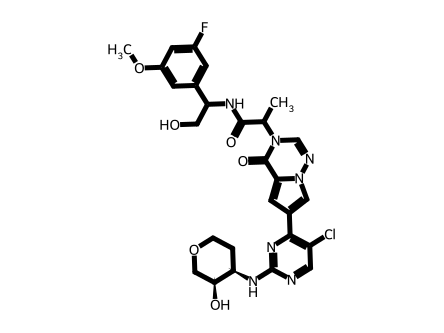 COc1cc(F)cc(C(CO)NC(=O)C(C)n2cnn3cc(-c4nc(N[C@@H]5CCOC[C@@H]5O)ncc4Cl)cc3c2=O)c1